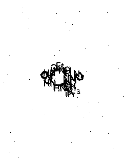 CC[C@@H]1NC(=O)[C@H](CNc2ccccn2)NC(=O)[C@](C)(NC(=O)C(C)C)CCNC(=O)[C@@H](c2ccccc2)NC1=O